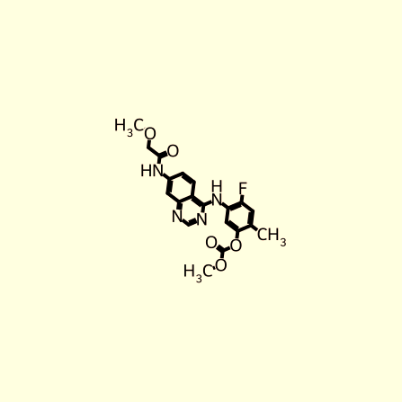 COCC(=O)Nc1ccc2c(Nc3cc(OC(=O)OC)c(C)cc3F)ncnc2c1